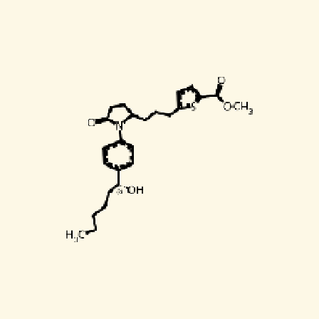 CCCCC[C@@H](O)c1ccc(N2C(=O)CCC2CCCc2ccc(C(=O)OC)s2)cc1